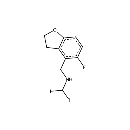 Fc1ccc2c(c1CNC(I)I)CCO2